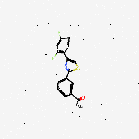 COC(=O)c1cccc(-c2nc(-c3ccc(F)cc3F)cs2)c1